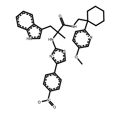 COc1ccc(C2(CNC(=O)C(C)(Cc3c[nH]c4ccccc34)Nc3nc(-c4ccc([N+](=O)[O-])cc4)cs3)CCCCC2)nc1